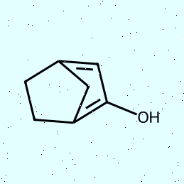 OC1=C2CCC(=C1)C2